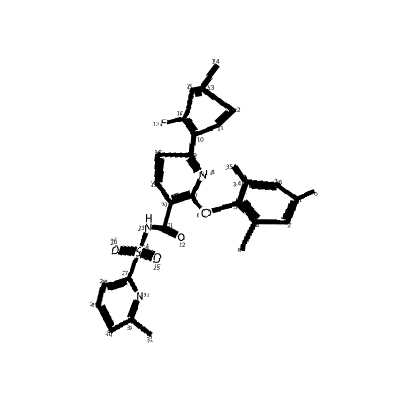 Cc1cc(C)c(Oc2nc(-c3ccc(C)cc3F)ccc2C(=O)NS(=O)(=O)c2cccc(C)n2)c(C)c1